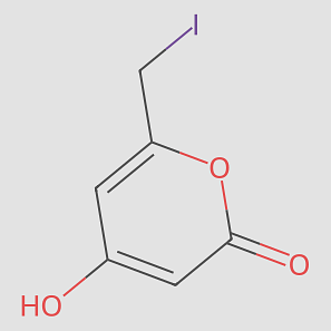 O=c1cc(O)cc(CI)o1